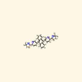 CC1(C)CSC(c2ccc(-c3c4ccccc4c(-c4ccc(C5=NC(C)(C)CS5)nc4)c4ccccc34)cn2)=N1